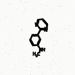 CNc1cccc(-c2ncccn2)c1